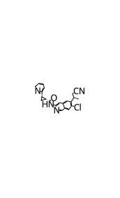 C[C@H](CC#N)c1cc2cc(NC(=O)[C@@H]3C[C@H]3c3ccccn3)ncc2cc1Cl